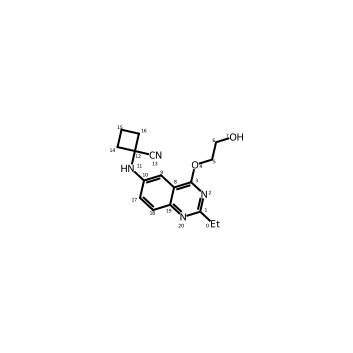 CCc1nc(OCCO)c2cc(NC3(C#N)CCC3)ccc2n1